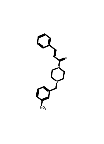 O=C(/C=C/c1ccccc1)N1CCN(Cc2cccc([N+](=O)[O-])c2)CC1